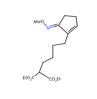 CCOC(=O)C(CCCCC1=CCCC1=NOC)C(=O)OCC